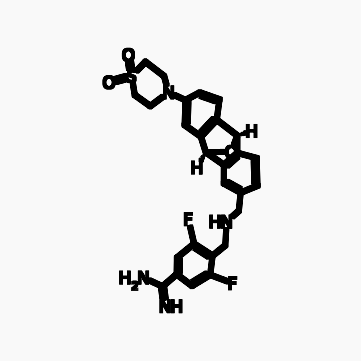 N=C(N)c1cc(F)c(CNCc2ccc3c(c2)[C@@H]2O[C@H]3c3ccc(N4CCS(=O)(=O)CC4)cc32)c(F)c1